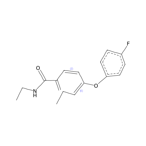 C=C(/C=C\C(=C/CC)Oc1ccc(F)cc1)C(=O)NCC